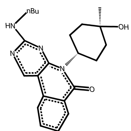 CCCCNc1ncc2c3ccccc3c(=O)n([C@H]3CC[C@](C)(O)CC3)c2n1